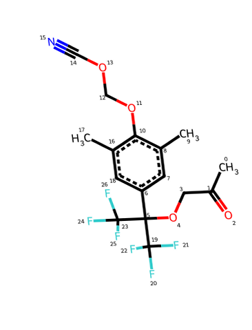 CC(=O)COC(c1cc(C)c(OCOC#N)c(C)c1)(C(F)(F)F)C(F)(F)F